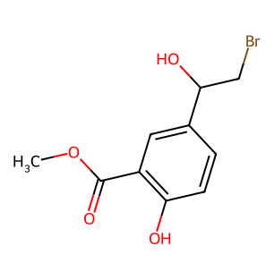 COC(=O)c1cc(C(O)CBr)ccc1O